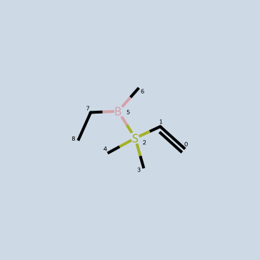 C=CS(C)(C)B(C)CC